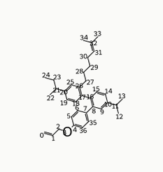 C=CCOc1ccc(-c2cc(C(C)C)ccc2-c2ccc(C(C)CC)cc2CCCCC=C(C)C)cc1